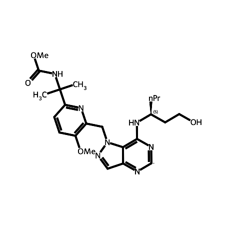 CCC[C@@H](CCO)Nc1n[c]nc2cnn(Cc3nc(C(C)(C)NC(=O)OC)ccc3OC)c12